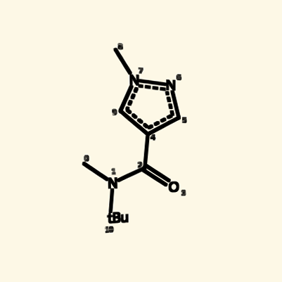 CN(C(=O)c1cnn(C)c1)C(C)(C)C